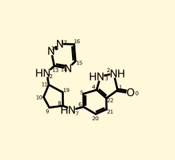 O=c1[nH][nH]c2cc(NC3CCC(Nc4nccnn4)C3)ccc12